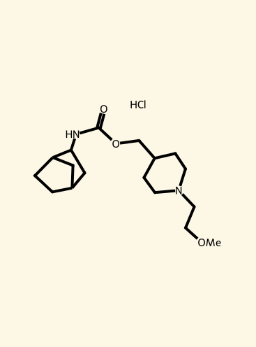 COCCN1CCC(COC(=O)NC2CC3CCC2C3)CC1.Cl